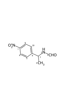 CC(NC=O)c1ccc([N+](=O)[O-])cc1